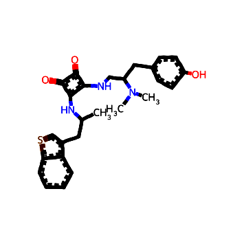 CC(Cc1csc2ccccc12)Nc1c(NCC(Cc2ccc(O)cc2)N(C)C)c(=O)c1=O